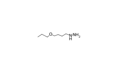 CCCOCCCCNN